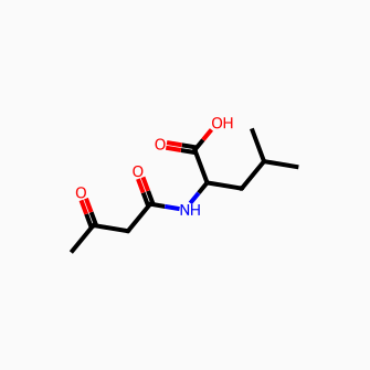 CC(=O)CC(=O)NC(CC(C)C)C(=O)O